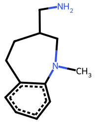 CN1CC(CN)CCc2ccccc21